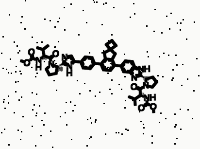 COC(=O)N[C@H](C(=O)N1CCC[C@H]1c1ncc(-c2ccc(-c3ccc(-c4ccc5[nH]c([C@@H]6CCCN6C(=O)[C@@H](NC(=O)OC)C(C)C)nc5c4)c4c3CC3(CCC3)C4)cc2)[nH]1)C(C)C